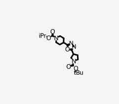 CC(C)OC(=O)N1CCC(c2nnc(C3CCN(C(=O)OC(C)(C)C)C3)o2)CC1